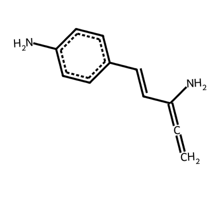 C=C=C(N)/C=C/c1ccc(N)cc1